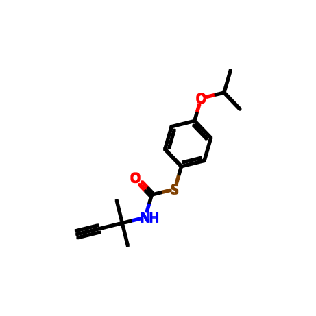 C#CC(C)(C)NC(=O)Sc1ccc(OC(C)C)cc1